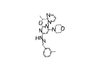 Cc1cccc(C=NNc2cc(N3CCOCC3)nc(OC(C)c3ncccn3)n2)c1